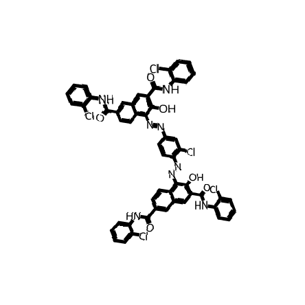 O=C(Nc1ccccc1Cl)c1ccc2c(N=Nc3ccc(N=Nc4c(O)c(C(=O)Nc5ccccc5Cl)cc5cc(C(=O)Nc6ccccc6Cl)ccc45)c(Cl)c3)c(O)c(C(=O)Nc3ccccc3Cl)cc2c1